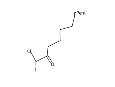 CCCCCCCCCC(=O)C(C)Cl